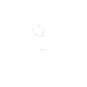 Cc1cc(SC(F)(F)F)on1